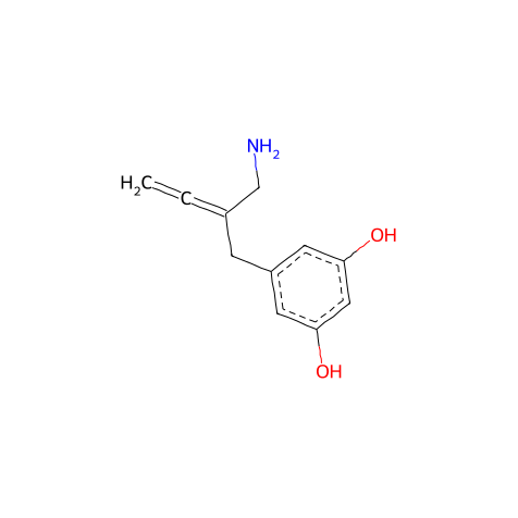 C=C=C(CN)Cc1cc(O)cc(O)c1